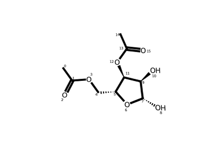 CC(=O)OC[C@H]1O[C@@H](O)[C@H](O)[C@@H]1OC(C)=O